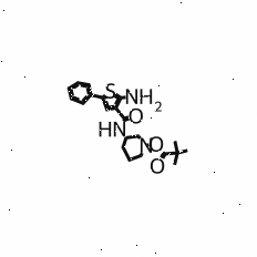 CC(C)(C)C(=O)ON1CCCC(NC(=O)c2cc(-c3ccccc3)sc2N)C1